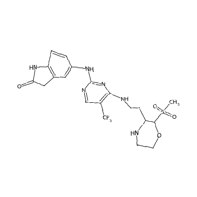 CS(=O)(=O)C1OCCNC1CCNc1nc(Nc2ccc3c(c2)CC(=O)N3)ncc1C(F)(F)F